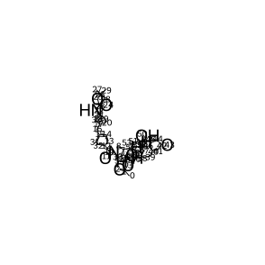 CC(=O)OCC(=O)[C@@]12CN(C(=O)c3ccc(CC45CC(C4)C(NC(=O)OC(C)(C)C)C5)cc3)C[C@@H]1C[C@H]1[C@@H]3CCC4=CC(=O)C=C[C@]4(C)[C@H]3[C@@H](O)C[C@@]12C